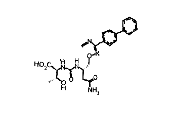 C=N/C(=N\OC[C@H](CC(N)=O)NC(=O)N[C@H](C(=O)O)[C@@H](C)O)c1ccc(-c2ccccc2)cc1